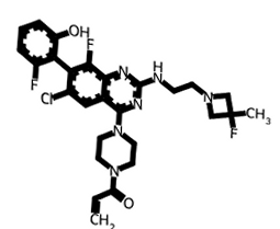 C=CC(=O)N1CCN(c2nc(NCCN3CC(C)(F)C3)nc3c(F)c(-c4c(O)cccc4F)c(Cl)cc23)CC1